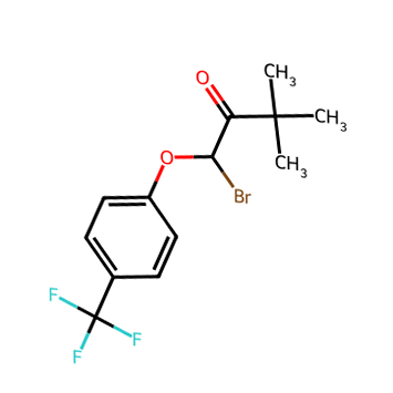 CC(C)(C)C(=O)C(Br)Oc1ccc(C(F)(F)F)cc1